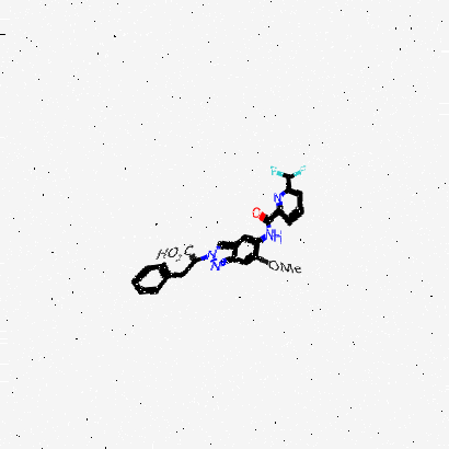 COc1cc2nn(C(Cc3ccccc3)C(=O)O)cc2cc1NC(=O)c1cccc(C(F)F)n1